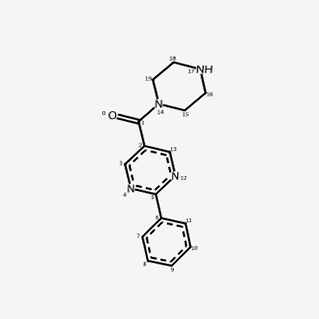 O=C(c1cnc(-c2ccccc2)nc1)N1CCNCC1